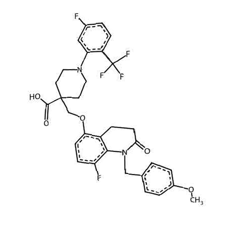 COc1ccc(CN2C(=O)CCc3c(OCC4(C(=O)O)CCN(c5cc(F)ccc5C(F)(F)F)CC4)ccc(F)c32)cc1